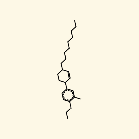 CCCCCCCCCC1C=CC(c2ccc(OCC)c(F)c2)CC1